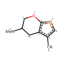 CNC1COc2scc(C#N)c2C1